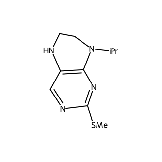 CSc1ncc2c(n1)N(C(C)C)CCN2